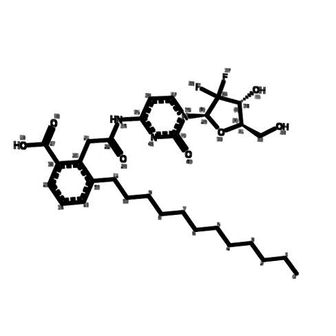 CCCCCCCCCCCCc1cccc(C(=O)O)c1CC(=O)Nc1ccn([C@@H]2O[C@H](CO)[C@@H](O)C2(F)F)c(=O)n1